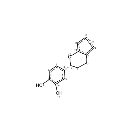 Oc1ccc([C@H]2CCc3ccccc3O2)cc1O